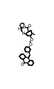 Cc1cc2c(cc1OCOc1cccc(C=C3c4ccccc4C(=O)c4ccccc43)c1)N=C[C@@H]1CCCN1C2=O